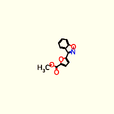 COC(=O)c1ccc(-c2noc3ccccc23)o1